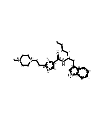 CCCC[C@@H](Cc1c[nH]c2ccccc12)NC(=O)c1cnc(CCN2CCN(C)CC2)s1